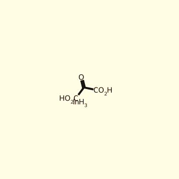 O=C(O)C(=O)C(=O)O.[InH3]